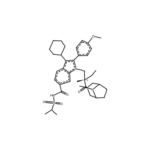 CC[C@@](C)(Cn1c(-c2ccc(OC)cc2)c(C2CCCCC2)c2ccc(C(=O)NS(=O)(=O)C(C)C)cc21)C(=O)N1C2CCC1CN(C)C2